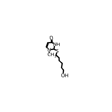 CN1C=CC(=O)NC1SCCCCCCO